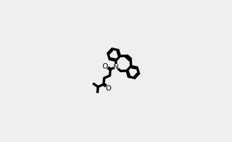 CC(C)C(=O)CCC(=O)N1Cc2ccccc2C#Cc2ccccc21